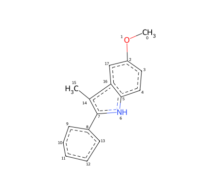 COc1ccc2[nH]c(-c3ccccc3)c(C)c2c1